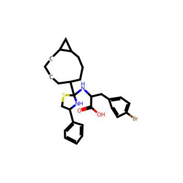 O=C(O)C(Cc1ccc(Br)cc1)NC1(C2CCCCC3CC3CCC2)NC(c2ccccc2)CS1